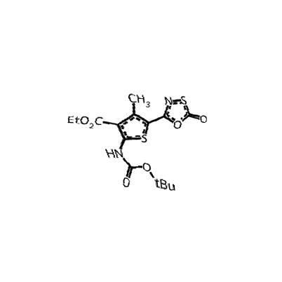 CCOC(=O)c1c(NC(=O)OC(C)(C)C)sc(-c2nsc(=O)o2)c1C